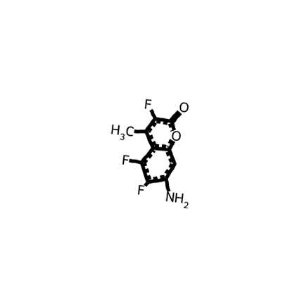 Cc1c(F)c(=O)oc2cc(N)c(F)c(F)c12